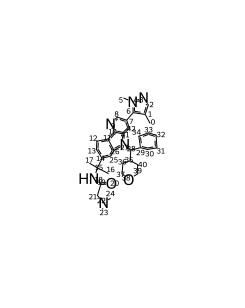 Cc1cnn(C)c1-c1cnc2c3ccc(C(C)(C)NC(=O)CN(C)C)cc3n(C(c3ccccc3)C3CCOCC3)c2c1